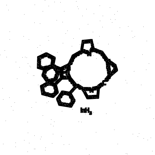 C1=Cc2cc3c(-c4ccccc4)c(-c4ccccc4)c(c(-c4ccccc4)c4nc(cc5ccc(cc1n2)[nH]5)C=C4)n3-c1ccccc1.[InH3]